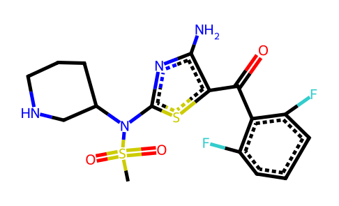 CS(=O)(=O)N(c1nc(N)c(C(=O)c2c(F)cccc2F)s1)C1CCCNC1